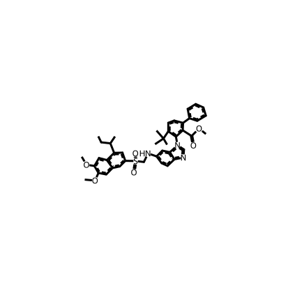 CCC(C)c1cc(S(=O)(=O)CNc2ccc3ncn(-c4c(C(C)(C)C)ccc(-c5ccccc5)c4C(=O)OC)c3c2)cc2cc(OC)c(OC)cc12